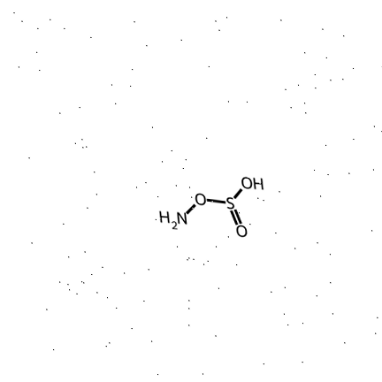 NOS(=O)O